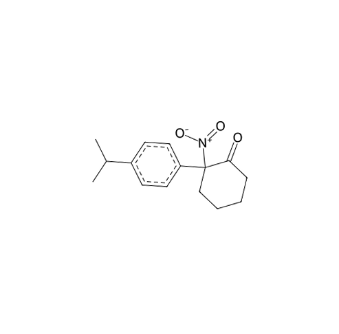 CC(C)c1ccc(C2([N+](=O)[O-])CCCCC2=O)cc1